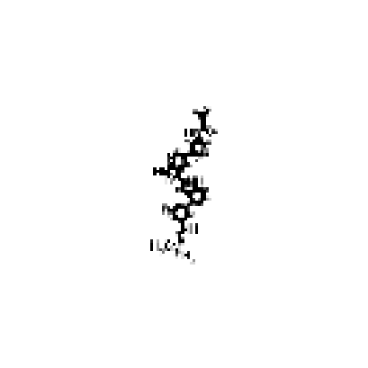 CN(C)CCNc1cc(F)cc(-c2cccc3[nH]c(-c4n[nH]c5ncc(-c6cncc(NC(=O)C7CC7)c6)cc45)cc23)c1